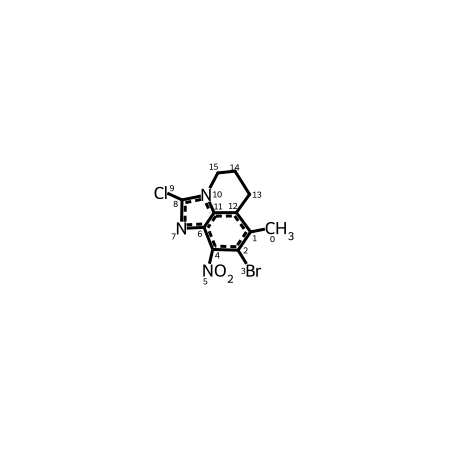 Cc1c(Br)c([N+](=O)[O-])c2nc(Cl)n3c2c1CCC3